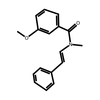 COc1cccc(C(=O)N(C)C=Cc2ccccc2)c1